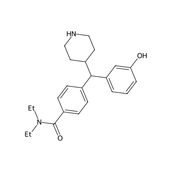 CCN(CC)C(=O)c1ccc(C(c2cccc(O)c2)C2CCNCC2)cc1